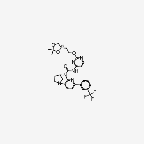 CC1(C)OC[C@@H](CCOc2nccc(NC(=O)N3c4nc(-c5cccc(C(F)(F)F)c5)ccc4N4CCC3C4)n2)O1